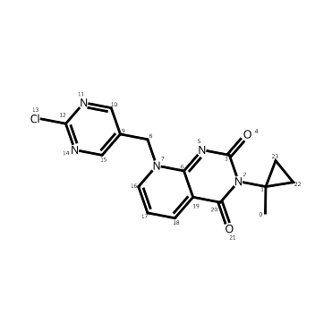 CC1(n2c(=O)nc3n(Cc4cnc(Cl)nc4)cccc-3c2=O)CC1